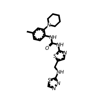 Cc1ccc(NC(=O)Nc2ncc(CNc3nncs3)s2)c(N2CCCCC2)c1